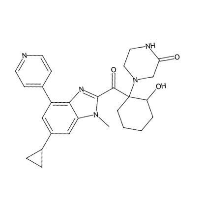 Cn1c(C(=O)C2(N3CCNC(=O)C3)CCCCC2O)nc2c(-c3ccncc3)cc(C3CC3)cc21